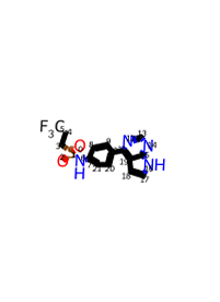 O=S(=O)(CCC(F)(F)F)Nc1ccc(-c2ncnc3[nH]ccc23)cc1